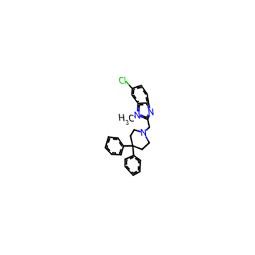 Cn1c(CN2CCC(c3ccccc3)(c3ccccc3)CC2)nc2ccc(Cl)cc21